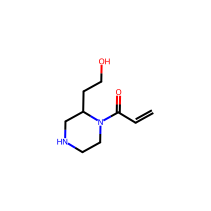 C=CC(=O)N1CCNCC1CCO